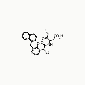 CCC(C(=O)NC(CC(=O)O)C(=O)CF)c1ccnn(Cc2cccc3ccccc23)c1=O